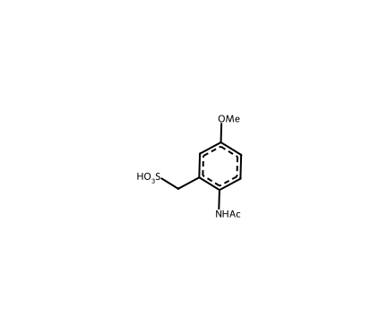 COc1ccc(NC(C)=O)c(CS(=O)(=O)O)c1